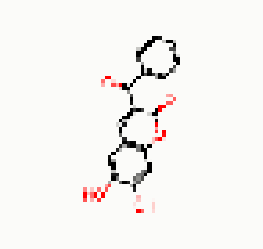 O=C(c1ccccc1)c1cc2cc(O)c(O)cc2oc1=O